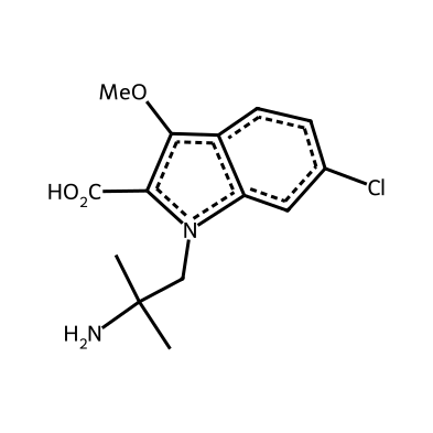 COc1c(C(=O)O)n(CC(C)(C)N)c2cc(Cl)ccc12